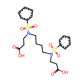 O=C(O)CCN(CCCCN(CCC(=O)O)S(=O)(=O)c1ccccc1)S(=O)(=O)c1ccccc1